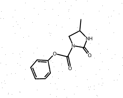 CC1CN(C(=O)Oc2ccccc2)C(=O)N1